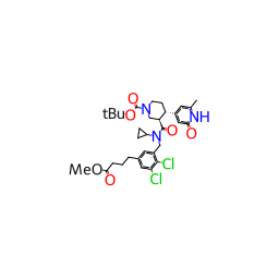 COC(=O)CCCc1cc(Cl)c(Cl)c(CN(C(=O)[C@H]2CN(C(=O)OC(C)(C)C)CC[C@@H]2c2cc(C)[nH]c(=O)c2)C2CC2)c1